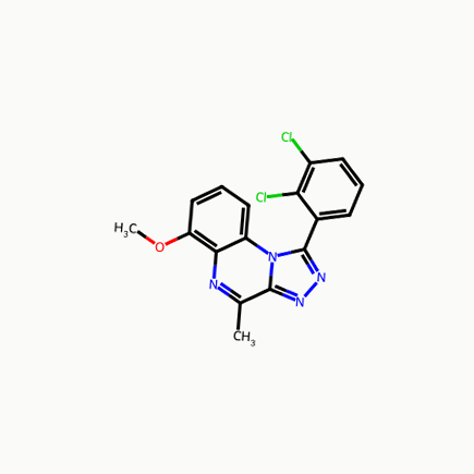 COc1cccc2c1nc(C)c1nnc(-c3cccc(Cl)c3Cl)n12